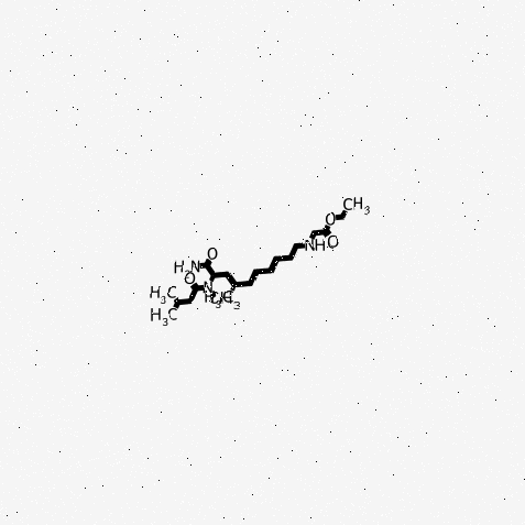 CCOC(=O)CNCCCCCC[C@@H](C)CC(C(N)=O)N(C)C(=O)CC(C)C